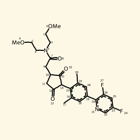 COCCN(CCOC)C(=O)CC1CC(=O)C(c2c(C)cc(-c3ncc(F)cc3F)cc2C)C1=O